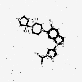 C[C@@]1(N2CCN(c3cc4c(cnn4-c4cnn(C(F)F)c4)cc3Cl)CC2)COC[C@@H]1O